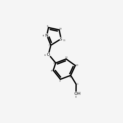 OCc1ccc(Oc2nccs2)cc1